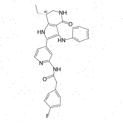 CC[C@@H]1CNC(=O)c2c1[nH]c(-c1ccnc(NC(=O)Cc3ccc(F)cc3)c1)c2Nc1ccccc1